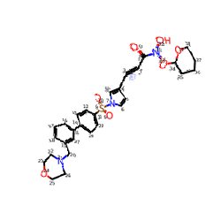 O=C(/C=C/c1ccn(S(=O)(=O)c2ccc(-c3cccc(CN4CCOCC4)c3)cc2)c1)N(O)OC1CCCCO1